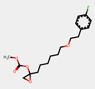 COC(=O)OC1(CCCCCCOCCc2ccc(F)cc2)CO1